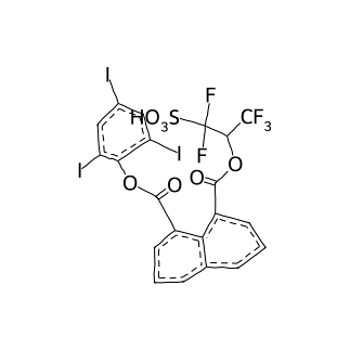 O=C(Oc1c(I)cc(I)cc1I)c1cccc2cccc(C(=O)OC(C(F)(F)F)C(F)(F)S(=O)(=O)O)c12